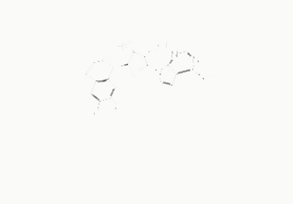 Nc1ncnc2c1ccn2[C@@H]1OC([C@@H]2OCCc3cc(Cl)c(Cl)cc32)[C@@H](O)[C@H]1O